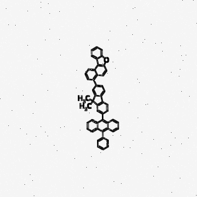 CC1(C)c2cc(-c3c4ccccc4c(-c4ccccc4)c4ccccc34)ccc2-c2ccc(-c3cccc4c3ccc3oc5ccccc5c34)cc21